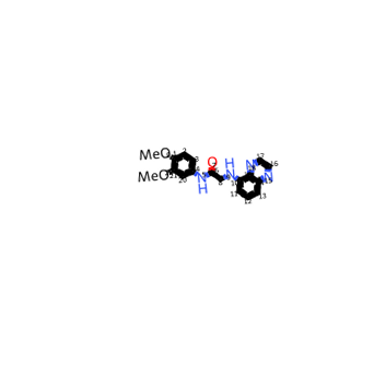 COc1ccc(NC(=O)CNc2cccc3nccnc23)cc1OC